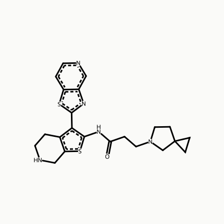 O=C(CCN1CCC2(CC2)C1)Nc1sc2c(c1-c1nc3cnccc3s1)CCNC2